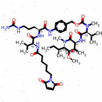 CC[C@H](C)[C@@H]([C@@H](C)OC)N(C)C(=O)[C@@H](NC(=O)[C@H](C(C)C)N(C)C(=O)OCc1ccc(NC(=O)[C@H](CCCNC(N)=O)NC(=O)[C@@H](NC(=O)CCCCCN2C(=O)C=CC2=O)C(C)C)cc1)C(C)C